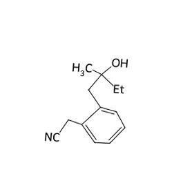 CCC(C)(O)Cc1ccccc1CC#N